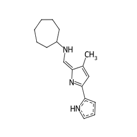 CC1=CC(c2ccc[nH]2)=N/C1=C/NC1CCCCCC1